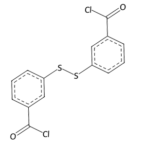 O=C(Cl)c1cccc(SSc2cccc(C(=O)Cl)c2)c1